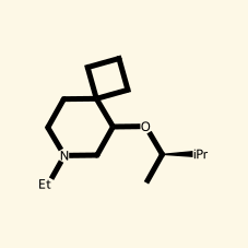 CCN1CCC2(CCC2)C(O[C@H](C)C(C)C)C1